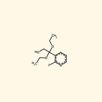 CCOC(CO)(OCC)c1cccnc1F